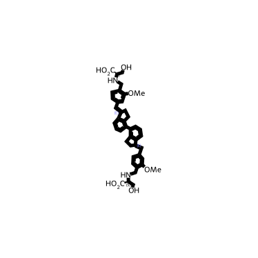 COc1cc(/C=C2\CCc3c2cccc3-c2cccc3c2CC/C3=C\c2ccc(CN[C@@H](CO)C(=O)O)c(OC)c2)ccc1CN[C@@H](CO)C(=O)O